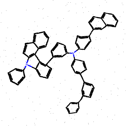 c1ccc(-c2cccc(-c3ccc(N(c4ccc(-c5ccc6ccccc6c5)cc4)c4cccc(-c5cccc6c5c5c7ccccc7ccc5n6-c5ccccc5)c4)cc3)c2)cc1